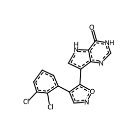 O=c1[nH]cnc2c(-c3oncc3-c3cccc(Cl)c3Cl)c[nH]c12